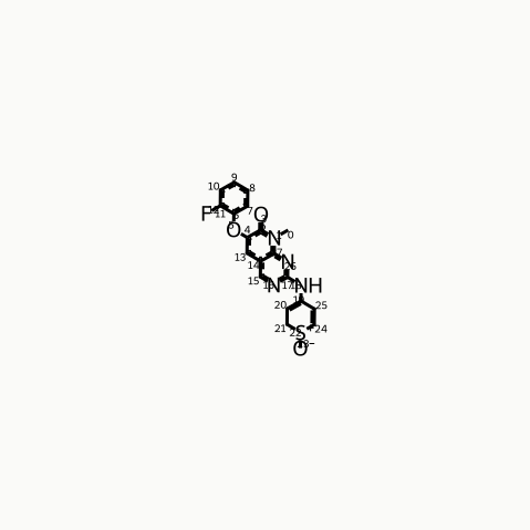 Cn1c(=O)c(Oc2ccccc2F)cc2cnc(NC3=CC[S+]([O-])C=C3)nc21